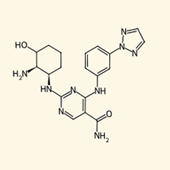 NC(=O)c1cnc(N[C@@H]2CCCC(O)[C@@H]2N)nc1Nc1cccc(-n2nccn2)c1